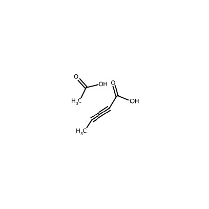 CC#CC(=O)O.CC(=O)O